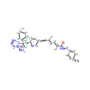 C/C(C#Cc1ccc(C(F)(F)C(CN(N)/C=N\N)(N=O)c2ccc(F)cc2F)nc1)=C\C=C(/C)C(=O)NCc1ccc(C#N)cc1